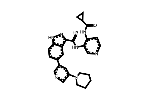 B=C(Nc1cnccc1NC(=O)C1CC1)c1n[nH]c2ccc(-c3cncc(N4CCCCC4)c3)cc12